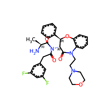 C[C@H](N)C(=O)N(C(=O)Cc1cc(F)cc(F)c1)[C@H]1C(=O)N(CCN2CCOCC2)c2ccccc2O[C@@H]1c1ccccc1